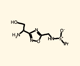 CC(C)[S+]([O-])NCc1nc(C(N)CO)no1